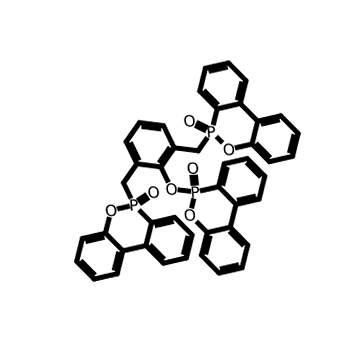 O=P1(Cc2cccc(CP3(=O)Oc4ccccc4-c4ccccc43)c2OP2(=O)Oc3ccccc3-c3ccccc32)Oc2ccccc2-c2ccccc21